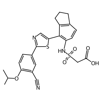 CC(C)Oc1ccc(-c2ncc(-c3c(NS(=O)(=O)CC(=O)O)ccc4c3CCC4)s2)cc1C#N